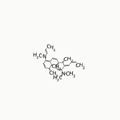 C=c1ccc(N(C)C=CC)c(/C=C\c2ccc(N(C)C)/c(=C/C=C\C)c2=C)c1=C